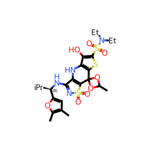 CCN(CC)S(=O)(=O)c1sc2c(c1O)NC1=C(C23OC(C)O3)S(=O)(=O)N=C1N[C@@H](c1cc(C)c(C)o1)C(C)C